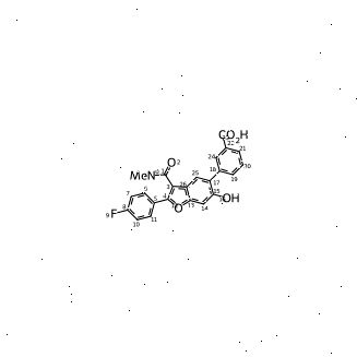 CNC(=O)c1c(-c2ccc(F)cc2)oc2cc(O)c(-c3cccc(C(=O)O)c3)cc12